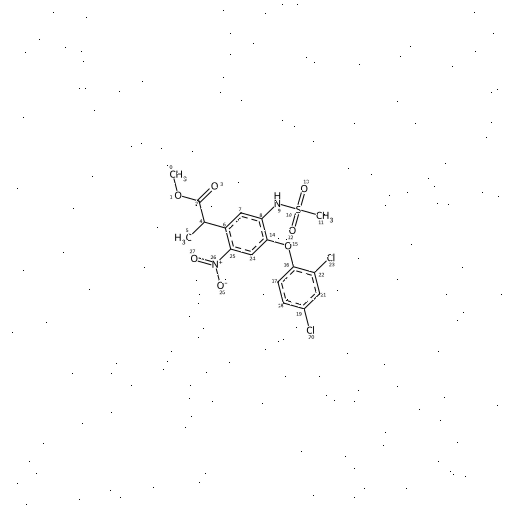 COC(=O)C(C)c1cc(NS(C)(=O)=O)c(Oc2ccc(Cl)cc2Cl)cc1[N+](=O)[O-]